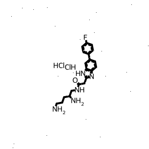 Cl.Cl.NCCCC(N)CNC(=O)Cc1nc2ccc(-c3ccc(F)cc3)cc2[nH]1